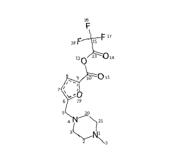 CN1CCN(Cc2ccc(C(=O)OC(=O)C(F)(F)F)o2)CC1